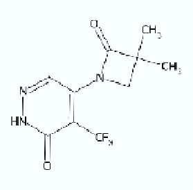 CC1(C)CN(c2cn[nH]c(=O)c2C(F)(F)F)C1=O